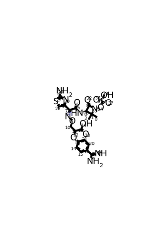 CC1(C)[C@H](NC(=O)/C(=N\OCC(Oc2ccc(C(=N)N)cc2)C(=O)O)c2csc(N)n2)C(=O)N1OS(=O)(=O)O